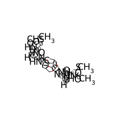 COC(=O)N[C@@H](CCSC)C(=O)N1[C@@H]2C[C@@H]2C[C@H]1c1nc2cc(-c3cc4ccc3CCc3ccc(c(-c5ccc6[nH]c([C@@H]7C[C@H]8C[C@H]8N7C(=O)[C@H](CCSC)NC(=O)OC)nc6c5)c3)CC4)ccc2[nH]1